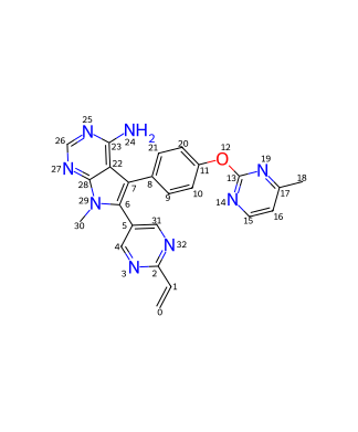 C=Cc1ncc(-c2c(-c3ccc(Oc4nccc(C)n4)cc3)c3c(N)ncnc3n2C)cn1